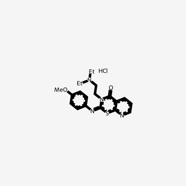 CCN(CC)CCn1c(=Nc2ccc(OC)cc2)sc2ncccc2c1=O.Cl